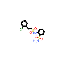 NS(=O)(=O)c1ccccc1NS(=O)(=O)/C=C/c1ccccc1Cl